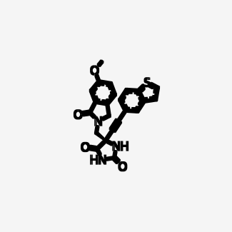 COc1ccc2c(c1)C(=O)N(C[C@@]1(C#Cc3ccc4sccc4c3)NC(=O)NC1=O)C2